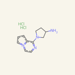 Cl.Cl.NC1CCN(c2nccn3cccc23)C1